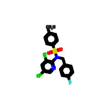 O=C(O)c1ccc(S(=O)(=O)N(Cc2ccc(F)cc2)c2ncc(Cl)cc2Cl)cc1